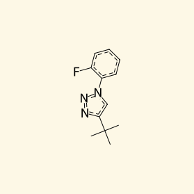 CC(C)(C)c1cn(-c2ccccc2F)nn1